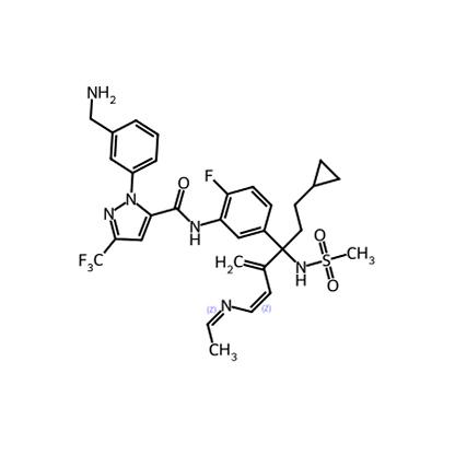 C=C(/C=C\N=C/C)C(CCC1CC1)(NS(C)(=O)=O)c1ccc(F)c(NC(=O)c2cc(C(F)(F)F)nn2-c2cccc(CN)c2)c1